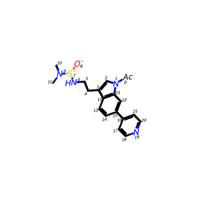 CC(=O)n1cc(CCN[S+]([O-])N(C)C)c2ccc(-c3ccncc3)cc21